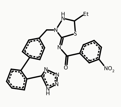 CCC1NN(Cc2ccc(-c3ccccc3-c3nnn[nH]3)cc2)C(=NC(=O)c2cccc([N+](=O)[O-])c2)S1